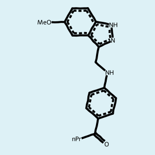 CCCC(=O)c1ccc(NCc2n[nH]c3ccc(OC)cc23)cc1